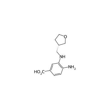 Nc1ccc(C(=O)O)cc1NC[C@@H]1CCOC1